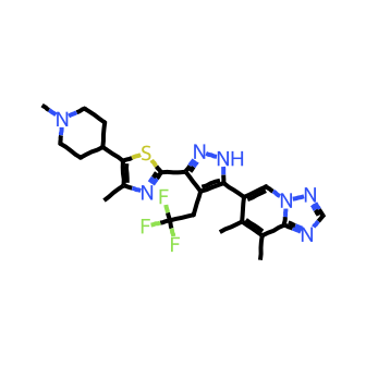 Cc1nc(-c2n[nH]c(-c3cn4ncnc4c(C)c3C)c2CC(F)(F)F)sc1C1CCN(C)CC1